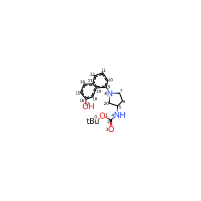 CC(C)(C)OC(=O)NC1CCN(c2cccc3ccc(O)cc23)C1